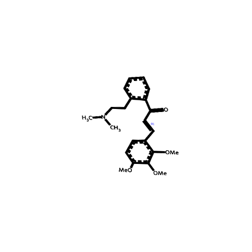 COc1ccc(/C=C/C(=O)c2ccccc2CCN(C)C)c(OC)c1OC